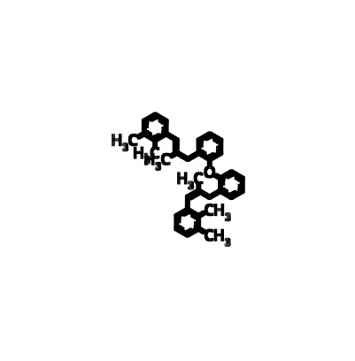 CC(=Cc1cccc(C)c1C)Cc1ccccc1Oc1ccccc1CC(C)=Cc1cccc(C)c1C